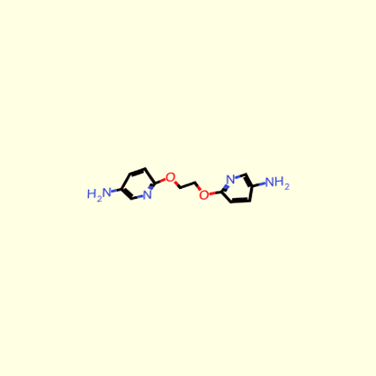 Nc1ccc(OCCOc2ccc(N)cn2)nc1